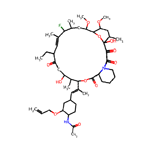 C=CCOC1CC(C=C(C)C2OC(=O)C3CCCCN3C(=O)C(=O)C3(O)OC(C(OC)CC(C)C(F)/C(C)=C/C(CC)C(=O)CC(O)C2C)C(OC)CC3C)CCC1NC(C)=O